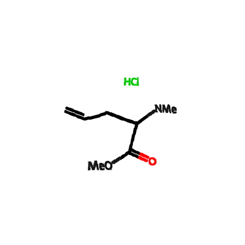 C=CCC(NC)C(=O)OC.Cl